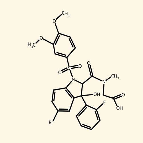 COc1ccc(S(=O)(=O)N2c3ccc(Br)cc3C(O)(c3ccccc3F)C2C(=O)N(C)CC(=O)O)cc1OC